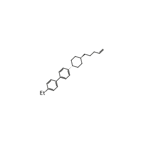 C=CCCC[C@H]1CC[C@H](c2ccc(-c3ccc(CC)cc3)cc2)CC1